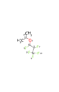 CC(C)OC(F)C(F)C(F)(F)F